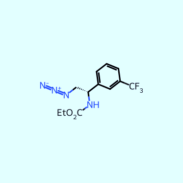 CCOC(=O)N[C@H](CN=[N+]=[N-])c1cccc(C(F)(F)F)c1